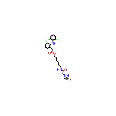 O=C(C[NH][AlH2])NCCCCCCOC(=O)Cc1ccccc1Nc1c(Cl)cccc1Cl